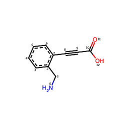 NCc1ccccc1C#CC(=O)O